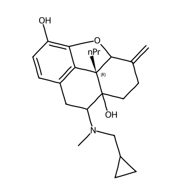 C=C1CCC2(O)C(N(C)CC3CC3)Cc3ccc(O)c4c3[C@]2(CCC)C1O4